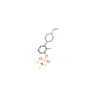 CCN1CCC(c2cccc(OS(=O)(=O)C(F)(F)F)c2C)CC1